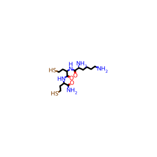 NCCCC[C@H](N)C(=O)NC(CCS)C(=O)NC(CCS)C(N)=O